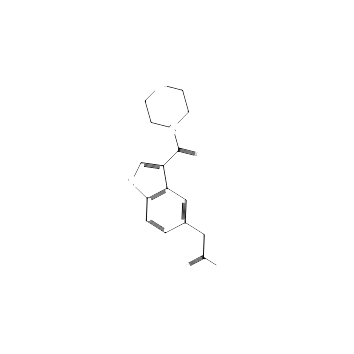 O=C(O)Cc1ccc2[nH]cc(C(=O)N3CCOCC3)c2c1